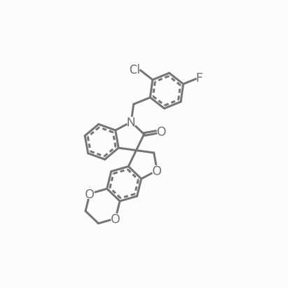 O=C1N(Cc2ccc(F)cc2Cl)c2ccccc2C12COc1cc3c(cc12)OCCO3